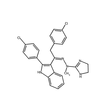 CN(N=C(Cc1ccc(Cl)cc1)c1c(-c2ccc(Cl)cc2)[nH]c2ccccc12)C1=NCCN1